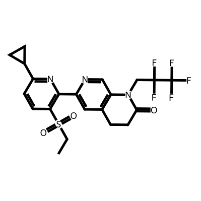 CCS(=O)(=O)c1ccc(C2CC2)nc1-c1cc2c(cn1)N(CC(F)(F)C(F)(F)F)C(=O)CC2